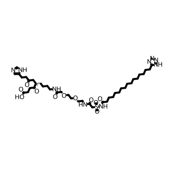 O=C(O)CCC(=O)[C@@H](CCCCNC(=O)COCCOCCNC(=O)CS(=O)(=O)NC(=O)CCCCCCCCCCCCCCCc1nnn[nH]1)CC(=O)CCc1cnc[nH]1